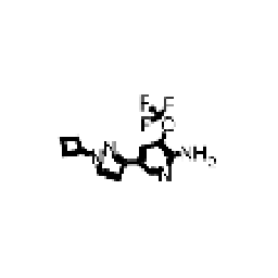 Nc1ncc(-c2ccn(C3CCC3)n2)cc1OC(F)(F)F